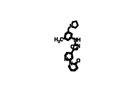 Cc1cc(CN2CCCC2)cc(Nc2ncc(-c3ccnc(-n4ccccc4=O)c3)o2)c1